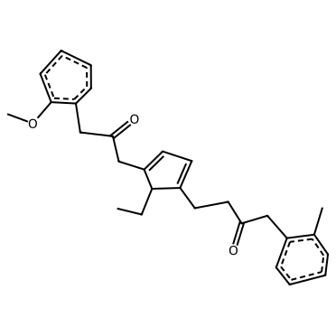 CCC1C(CCC(=O)Cc2ccccc2C)=CC=C1CC(=O)Cc1ccccc1OC